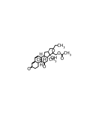 CCCC[C@@H]1C[C@H]2[C@@H]3C=CC4=CC(=O)CC[C@]4(C)[C@H]3C(=O)C[C@]2(C)[C@@]1(O)C(=O)COC(C)=O